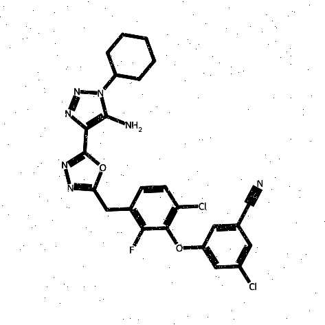 N#Cc1cc(Cl)cc(Oc2c(Cl)ccc(Cc3nnc(-c4nnn(C5CCCCC5)c4N)o3)c2F)c1